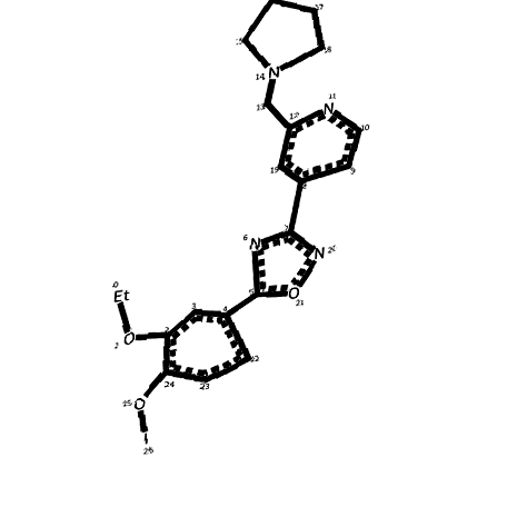 CCOc1cc(-c2nc(-c3ccnc(CN4CCCC4)c3)no2)ccc1OI